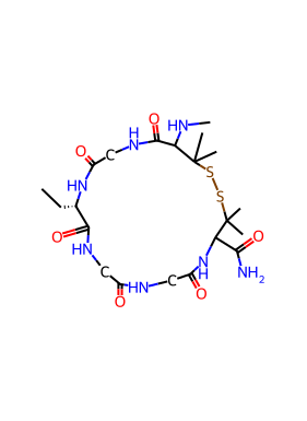 CC[C@@H]1NC(=O)CNC(=O)C(NC)C(C)(C)SSC(C)(C)C(C(N)=O)NC(=O)CNC(=O)CNC1=O